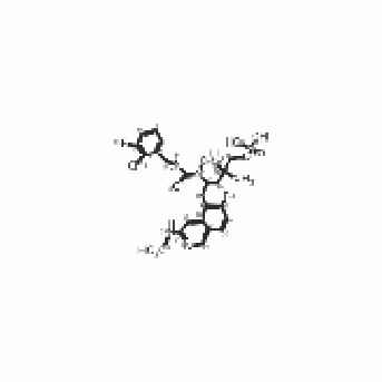 CN(C(=O)NCc1cccc(F)c1Cl)C(Cc1c(F)ccc2cnc(NC(=O)O)cc12)CC(C)(C)COP(=O)(O)O